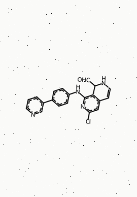 O=CC1NC=Cc2cc(Cl)nc(Nc3ccc(-c4cccnc4)cc3)c21